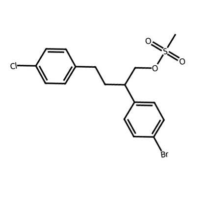 CS(=O)(=O)OCC(CCc1ccc(Cl)cc1)c1ccc(Br)cc1